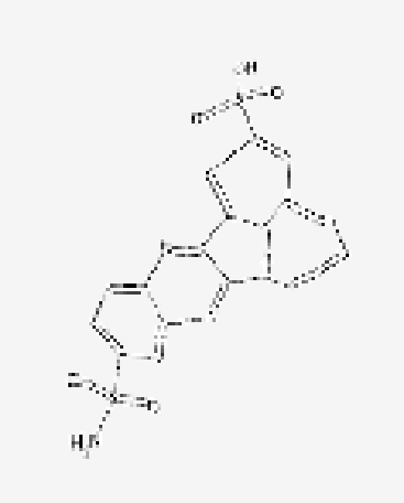 NS(=O)(=O)c1ccc2nc3c(nc2c1)-c1cccc2cc(S(=O)(=O)O)cc-3c12